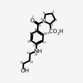 O=C(O)C1CCCN1C(=O)c1ccc(NCCCO)cc1